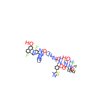 C#Cc1c(F)ccc2cc(O)cc(-c3ncc4c(N5CC6CCC(C5)N6)nc(OC5CCN(C6CN(C(=O)C[C@H](NC(=O)[C@@H]7C[C@@H](O)CN7C(=O)[C@@H](NC(=O)C7(F)CC7)C(C)(C)C)c7ccc(-c8scnc8C)cc7)C6)CC5)nc4c3F)c12